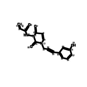 C=CC(=O)Nn1c(=O)ccn(CC#Cc2cccc(O)c2)c1=O